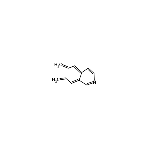 C=C/C=c1/ccnc/c1=C/C=C